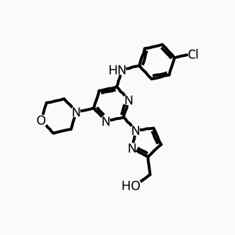 OCc1ccn(-c2nc(Nc3ccc(Cl)cc3)cc(N3CCOCC3)n2)n1